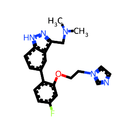 CN(C)Cc1n[nH]c2ccc(-c3ccc(F)cc3OCCn3ccnc3)cc12